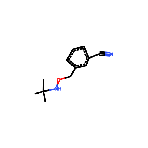 CC(C)(C)NOCc1cccc(C#N)c1